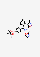 Cc1noc2c1-c1ccccc1C(c1ccc(B3OC(C)(C)C(C)(C)O3)cc1)=N[C@H]2Cc1ncco1